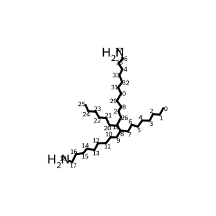 CCCCCCCCC(CCCCCCCCCN)C(CCCCCC)CCCCCCCCCCCN